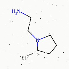 CC[C@H]1CCCN1CCN